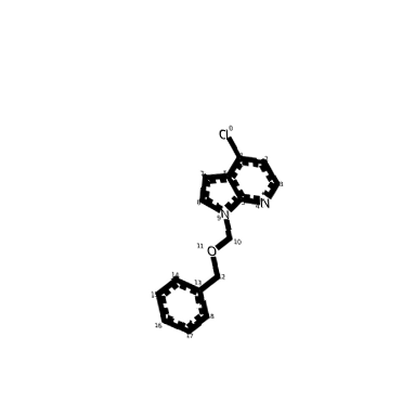 Clc1ccnc2c1ccn2COCc1ccccc1